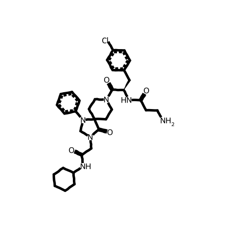 NCCC(=O)N[C@H](Cc1ccc(Cl)cc1)C(=O)N1CCC2(CC1)C(=O)N(CC(=O)NC1CCCCC1)CN2c1ccccc1